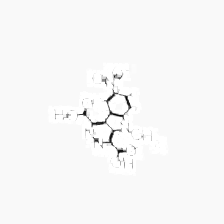 Cn1c2ccc([N+](=O)[O-])cc2c2c(C(=O)O)nnc(C(=O)O)c21